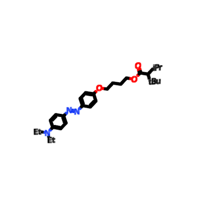 CCN(CC)c1ccc(N=Nc2ccc(OCCCCOC(=O)C(C(C)C)C(C)(C)C)cc2)cc1